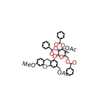 COc1ccc(Cc2c(Cl)cc(COC(C)=O)cc2O[C@H]2O[C@H](COC(=O)c3ccccc3)[C@@](C)(OC(C)=O)[C@H](OC(=O)c3ccccc3)[C@H]2OC(=O)c2ccccc2)cc1